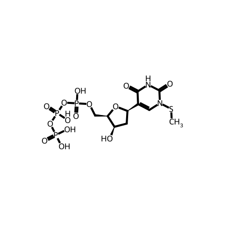 CSn1cc([C@H]2C[C@@H](O)[C@@H](COP(=O)(O)OP(=O)(O)OP(=O)(O)O)O2)c(=O)[nH]c1=O